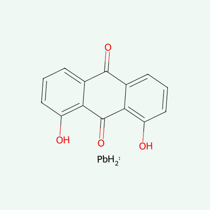 O=C1c2cccc(O)c2C(=O)c2c(O)cccc21.[PbH2]